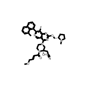 COC/C=C/C(=O)N1CCN(c2nc(OC[C@@H]3CCCN3C)nc3c(F)c(-c4cccc5cccc(C)c45)ncc23)C[C@@]1(O)CC#N